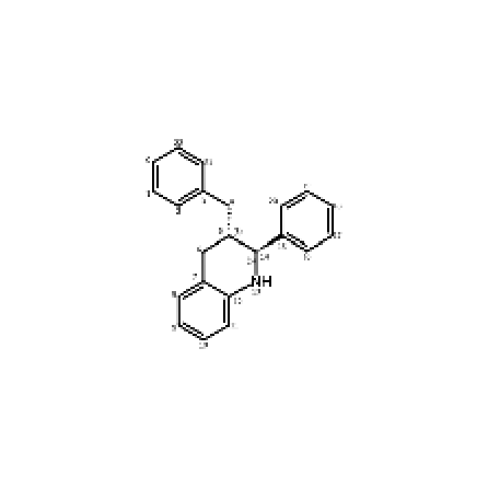 c1ccc(C[C@H]2Cc3ccccc3N[C@@H]2c2ccccc2)cc1